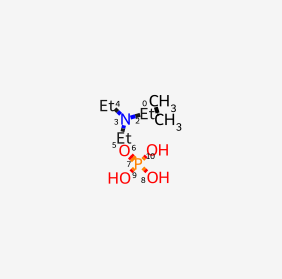 CC.CCN(CC)CC.O=P(O)(O)O